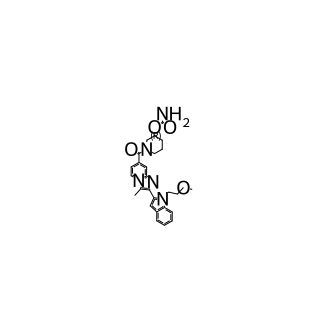 COCCn1c(-c2nc3cc(C(=O)N4CCC[C@@H](OC(N)=O)C4)ccn3c2C)cc2ccccc21